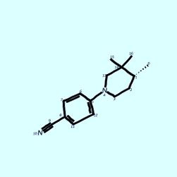 C[C@@H]1CCN(c2ccc(C#N)cc2)CC1(C)C